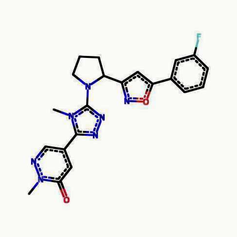 Cn1c(-c2cnn(C)c(=O)c2)nnc1N1CCCC1c1cc(-c2cccc(F)c2)on1